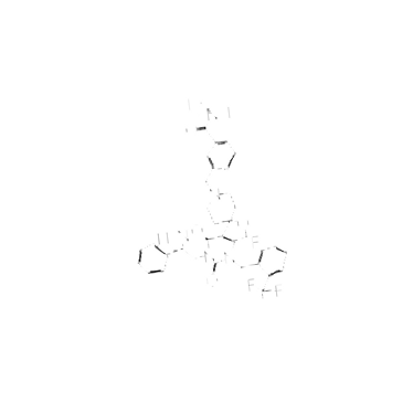 CNC(=O)c1cccc(CN2CCC3(CC2)OCc2c3c(=O)n(CC(N)c3ccccc3)c(=O)n2Cc2c(F)cccc2C(F)(F)F)c1